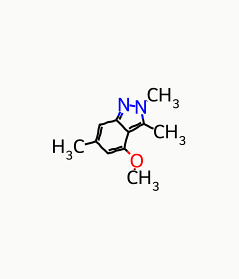 COc1cc(C)cc2nn(C)c(C)c12